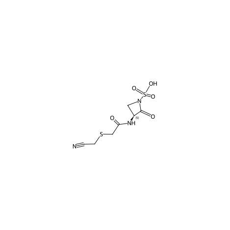 N#CCSCC(=O)N[C@H]1CN(S(=O)(=O)O)C1=O